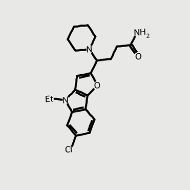 CCn1c2cc(Cl)ccc2c2oc(C(CCC(N)=O)N3CCCCC3)cc21